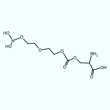 NC(COC(=O)OCCOCCON(O)O)C(=O)O